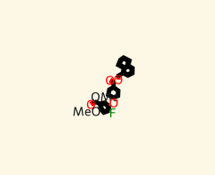 COC(=O)c1cc(OC2CCC(C(=O)OCc3cccc4ccccc34)CC2)c(F)cc1OC